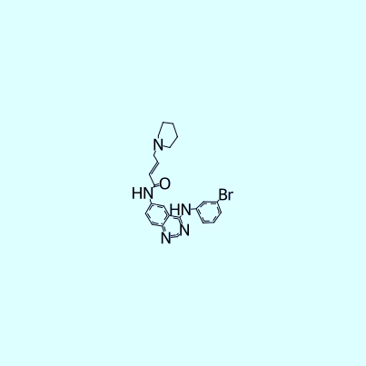 O=C(C=CCN1CCCCC1)Nc1ccc2ncnc(Nc3cccc(Br)c3)c2c1